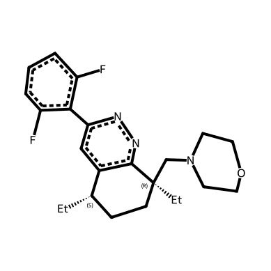 CC[C@H]1CC[C@](CC)(CN2CCOCC2)c2nnc(-c3c(F)cccc3F)cc21